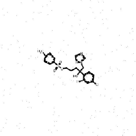 Cc1ccc(S(=O)(=O)OCCCC(O)(Cn2cncn2)c2ccc(Cl)cc2Cl)cc1